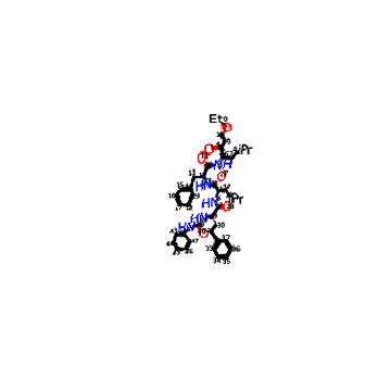 CCOCCC(=O)C(CC(C)C)NC(=O)[C@H](Cc1ccccc1)NC(=O)C(CC(C)C)NC(=O)[C@H](CCc1ccccc1)NC(=O)Nc1ccccc1